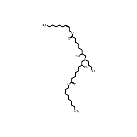 CCCCCC/C=C\COC(=O)CCCCCC(O)CN(CCCO)CC(O)CCCCCC(=O)OC/C=C\CCCCCC